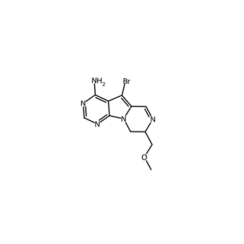 COCC1Cn2c(c(Br)c3c(N)ncnc32)C=N1